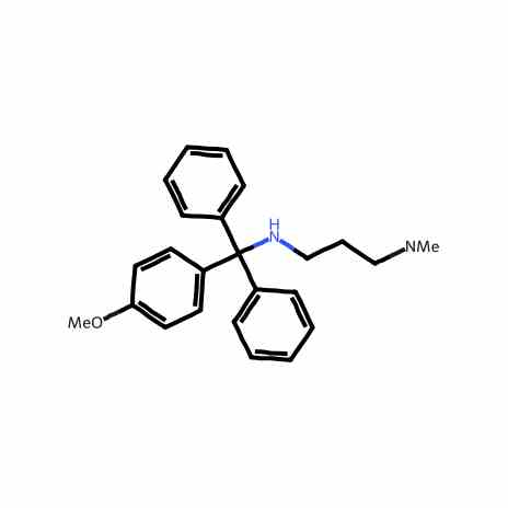 CNCCCNC(c1ccccc1)(c1ccccc1)c1ccc(OC)cc1